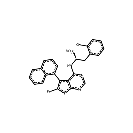 CCc1sc2ncnc(N[C@H](Cc3ccccc3Cl)C(=O)O)c2c1-c1cccc2ccccc12